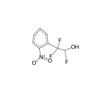 O=[N+]([O-])c1ccccc1C(F)(F)C(O)F